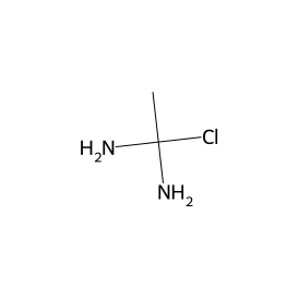 CC(N)(N)Cl